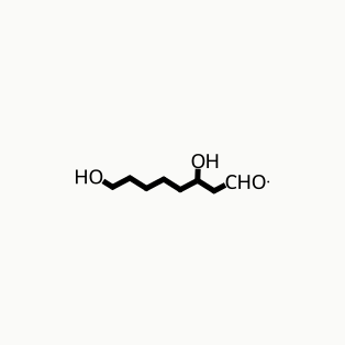 O=[C]CC(O)CCCCCO